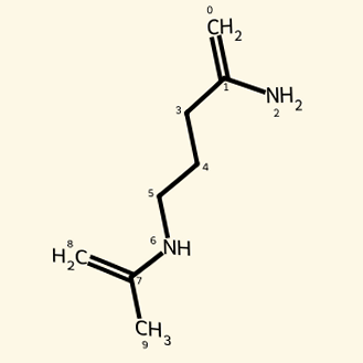 C=C(N)CCCNC(=C)C